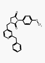 O=C1CN(Cc2ccnc(Cc3ccccc3)c2)C(=O)N1c1ccc(OC(F)(F)F)cc1